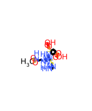 CS(=O)(=O)NCCNc1nc(Nc2cc(S(=O)(=O)O)ccc2SOOO)nc(Sc2nc[nH]n2)n1